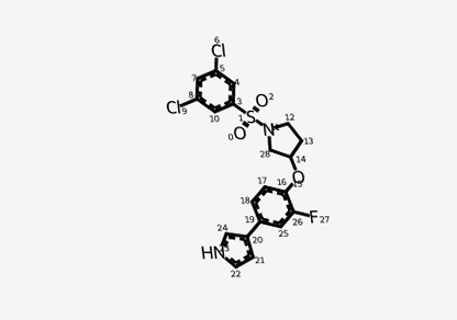 O=S(=O)(c1cc(Cl)cc(Cl)c1)N1CCC(Oc2ccc(-c3cc[nH]c3)cc2F)C1